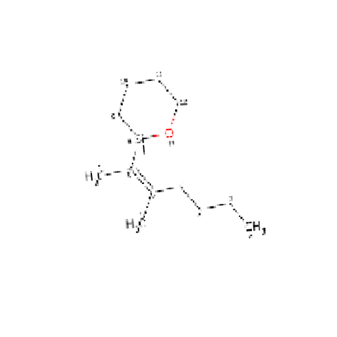 CCCCC(C)=C(C)[SiH]1CCCCO1